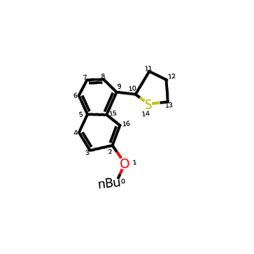 CCCCOc1ccc2cccc(C3CCCS3)c2c1